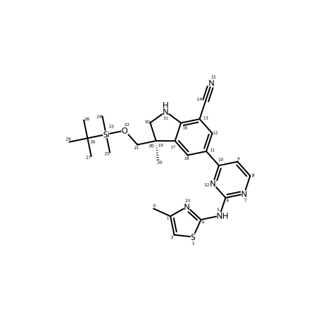 Cc1csc(Nc2nccc(-c3cc(C#N)c4c(c3)[C@@](C)(CO[Si](C)(C)C(C)(C)C)CN4)n2)n1